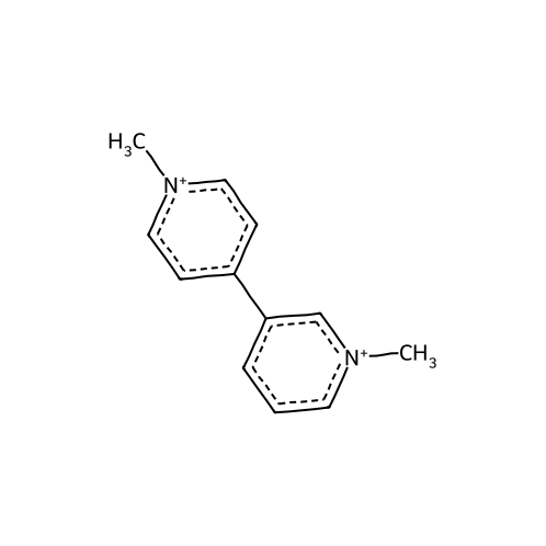 C[n+]1ccc(-c2ccc[n+](C)c2)cc1